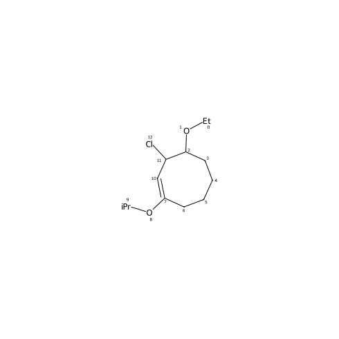 CCOC1CCCC/C(OC(C)C)=C\C1Cl